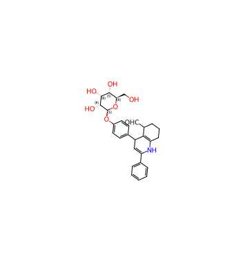 O=CC1CCCC2=C1C(c1ccc(O[C@@H]3O[C@H](CO)[C@@H](O)[C@@H](O)[C@H]3O)cc1)C=C(c1ccccc1)N2